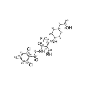 C=C(O)CC1CCC(N/C(=C(\C=N)C(=O)NCC(=O)c2c(Cl)cc(C)cc2Cl)C(F)(F)F)CC1